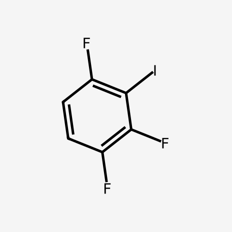 Fc1ccc(F)c(I)c1F